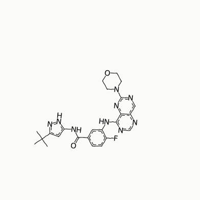 CC(C)(C)c1cc(NC(=O)c2ccc(F)c(Nc3ncnc4cnc(N5CCOCC5)nc34)c2)[nH]n1